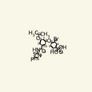 CC(C)Oc1cc(Oc2ccc(P(=O)(O)O)cc2Br)cc(C(=O)Nc2ncc(F)s2)c1